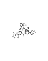 CC1CCCN1C(=O)c1nc(C(=O)NCC(C)(C)O)sc1-c1cnc(NC(C)(C)C2CC2)cc1C(F)F